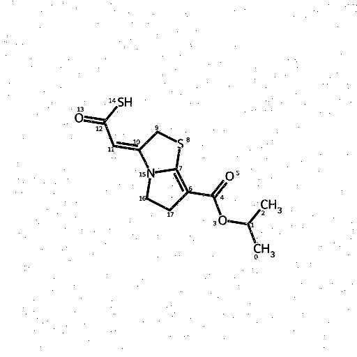 CC(C)OC(=O)C1=C2SC/C(=C\C(=O)S)N2CC1